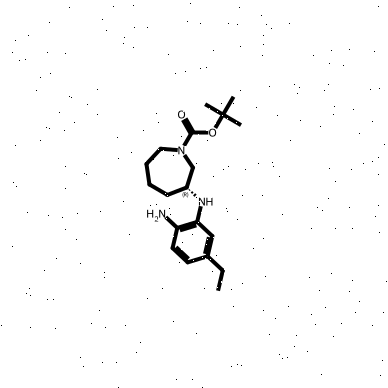 CCc1ccc(N)c(N[C@@H]2CCCCN(C(=O)OC(C)(C)C)C2)c1